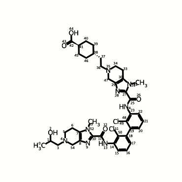 CC(O)CN1CCc2c(nc(C(=O)Nc3cccc(-c4cccc(NC(=O)c5nc6c(n5C)CCN(CC[C@H]5CC[C@H](C(=O)O)CC5)C6)c4Cl)c3Cl)n2C)C1